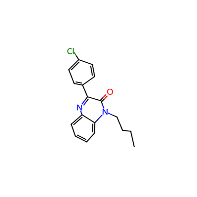 CCCCn1c(=O)c(-c2ccc(Cl)cc2)nc2ccccc21